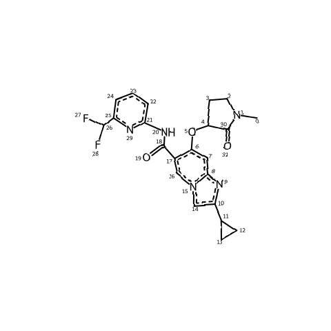 CN1CCC(Oc2cc3nc(C4CC4)cn3cc2C(=O)Nc2cccc(C(F)F)n2)C1=O